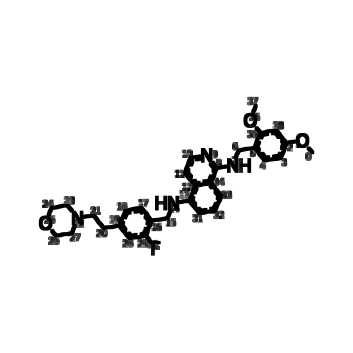 COc1ccc(CNc2nccc3c(NCc4ccc(CCN5CCOCC5)cc4F)cccc23)c(OC)c1